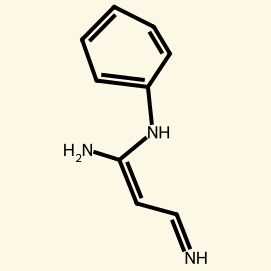 N=C/C=C(/N)Nc1ccccc1